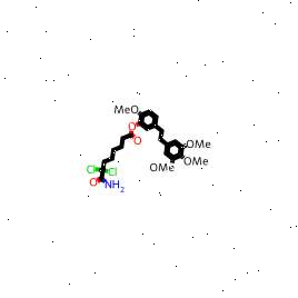 COc1ccc(CCc2cc(OC)c(OC)c(OC)c2)cc1OC(=O)CCCCCC(Cl)(Cl)C(N)=O